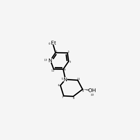 CCc1ccc(N2CCC[C@@H](O)C2)cn1